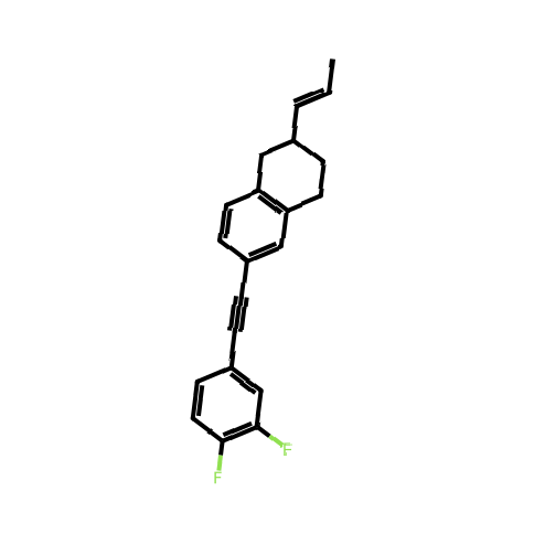 C/C=C/C1CCc2cc(C#Cc3ccc(F)c(F)c3)ccc2C1